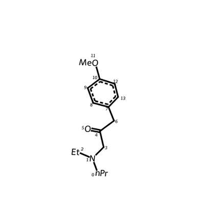 CCCN(CC)CC(=O)Cc1ccc(OC)cc1